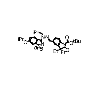 CCC1(CC)C(=O)N(C(=O)OC(C)(C)C)c2ccc(/C=N/N(CC(C)C)C3=NS(=O)(=O)c4cc(OC(C)C)ccc43)cc21